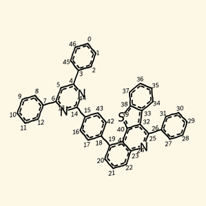 c1ccc(-c2cc(-c3ccccc3)nc(-c3ccc(-c4cccc5nc(-c6ccccc6)c6c7ccccc7sc6c45)cc3)n2)cc1